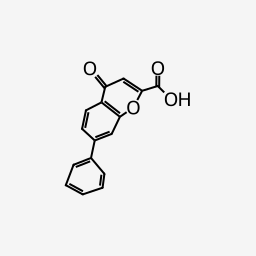 O=C(O)c1cc(=O)c2ccc(-c3ccccc3)cc2o1